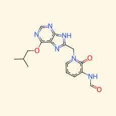 CC(C)COc1ncnc2[nH]c(Cn3cccc(NC=O)c3=O)nc12